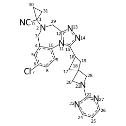 N#CC1(N2Cc3cc(Cl)ccc3-n3c(nnc3C3CC4(C3)CN(c3ncccn3)C4)C2)CC1